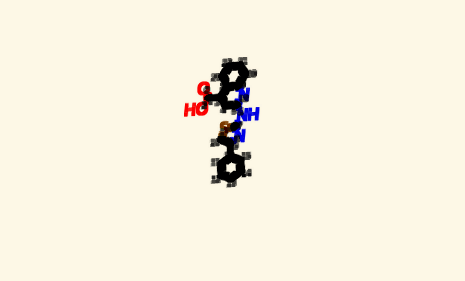 O=C(O)c1cc(Nc2nc(-c3ccccc3)cs2)nc2ccccc12